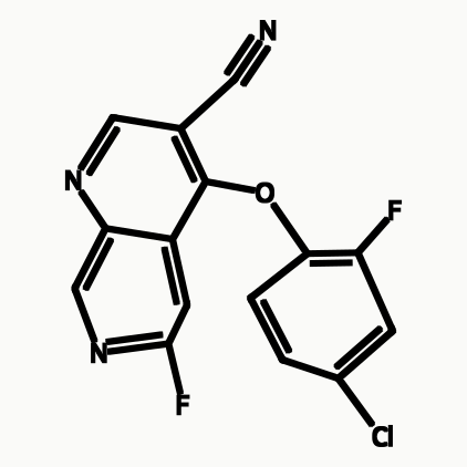 N#Cc1cnc2cnc(F)cc2c1Oc1ccc(Cl)cc1F